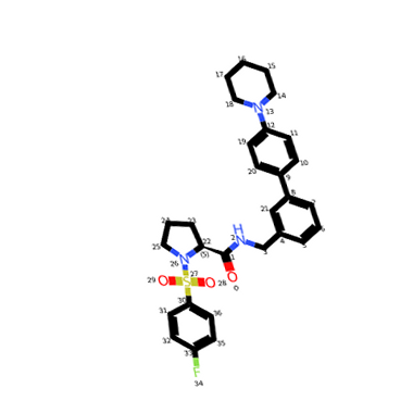 O=C(NCc1cccc(-c2ccc(N3CCCCC3)cc2)c1)[C@@H]1CCCN1S(=O)(=O)c1ccc(F)cc1